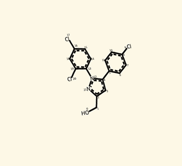 OCc1cc(-c2ccc(Cl)cc2)n(-c2ccc(Cl)cc2Cl)n1